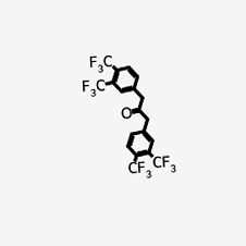 O=C(Cc1ccc(C(F)(F)F)c(C(F)(F)F)c1)Cc1ccc(C(F)(F)F)c(C(F)(F)F)c1